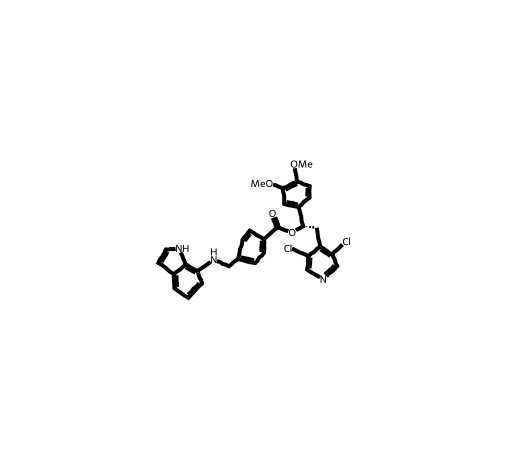 COc1ccc([C@H](Cc2c(Cl)cncc2Cl)OC(=O)c2ccc(CNc3cccc4cc[nH]c34)cc2)cc1OC